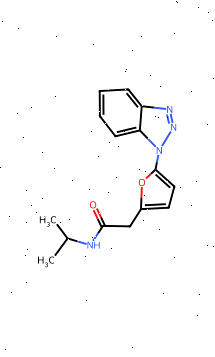 CC(C)NC(=O)Cc1ccc(-n2nnc3ccccc32)o1